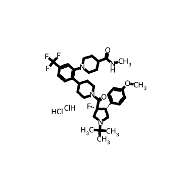 CNC(=O)C1CCN(c2cc(C(F)(F)F)ccc2C2CCN(C(=O)[C@]3(F)CN(C(C)(C)C)C[C@H]3c3ccc(OC)cc3)CC2)CC1.Cl.Cl